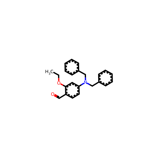 CCOc1cc(N(Cc2ccccc2)Cc2ccccc2)ccc1C=O